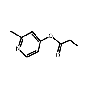 CCC(=O)Oc1ccnc(C)c1